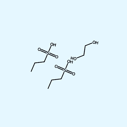 CCCS(=O)(=O)O.CCCS(=O)(=O)O.OCCO